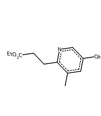 CCOC(=O)CCc1ncc(O)cc1C